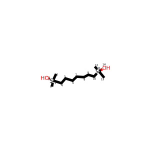 C[Si](C)(O)CCCCCCC[Si](C)(C)O